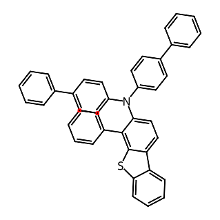 c1ccc(-c2ccc(N(c3ccc(-c4ccccc4)cc3)c3ccc4c(sc5ccccc54)c3-c3ccccc3)cc2)cc1